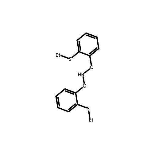 CCSc1ccccc1OBOc1ccccc1SCC